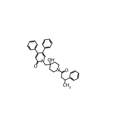 CC(CC(=O)N1CCC(O)(Cn2cc(-c3ccccc3)c(-c3ccccc3)cc2=O)CC1)c1ccccc1